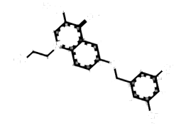 O=C(O)c1cn(CCO)c2ccc(OCc3cc(C(F)(F)F)cc(C(F)(F)F)c3)cc2c1=O